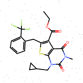 CCOC(=O)c1c(Cc2ccccc2C(F)(F)F)sc2c1c(=O)n(C)c(=O)n2CC1CC1